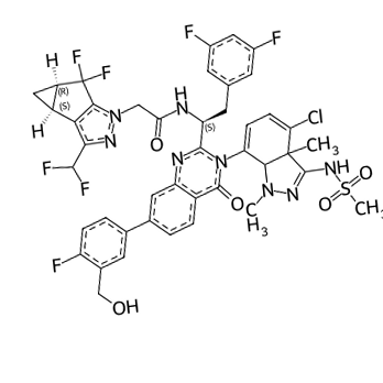 CN1N=C(NS(C)(=O)=O)C2(C)C(Cl)=CC=C(n3c([C@H](Cc4cc(F)cc(F)c4)NC(=O)Cn4nc(C(F)F)c5c4C(F)(F)[C@@H]4C[C@H]54)nc4cc(-c5ccc(F)c(CO)c5)ccc4c3=O)C12